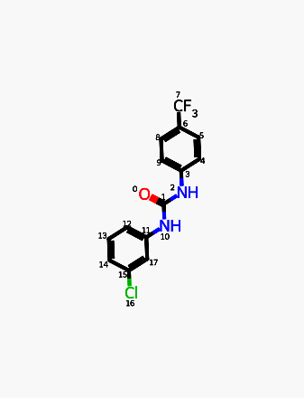 O=C(Nc1ccc(C(F)(F)F)cc1)Nc1cccc(Cl)c1